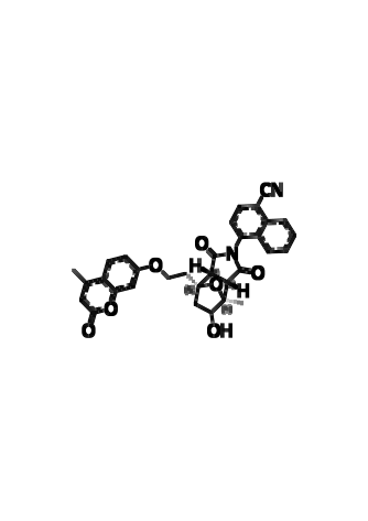 Cc1cc(=O)oc2cc(OCC[C@@]34CC(O)[C@@](C)(O3)[C@H]3C(=O)N(c5ccc(C#N)c6ccccc56)C(=O)[C@H]34)ccc12